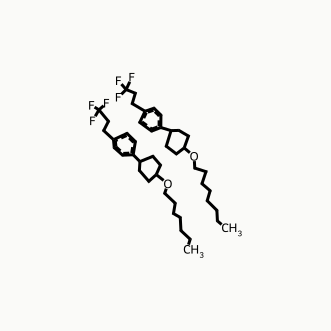 CCCCCCCCOC1CCC(c2ccc(CCC(F)(F)F)cc2)CC1.CCCCCCCOC1CCC(c2ccc(CCC(F)(F)F)cc2)CC1